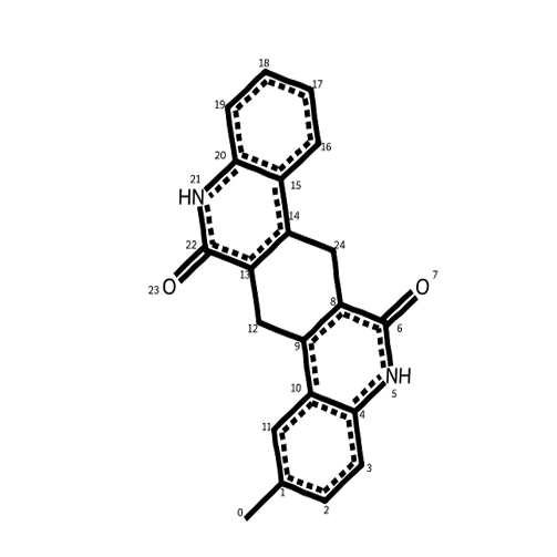 Cc1ccc2[nH]c(=O)c3c(c2c1)Cc1c(c2ccccc2[nH]c1=O)C3